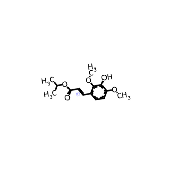 COc1ccc(/C=C/C(=O)OC(C)C)c(OC)c1O